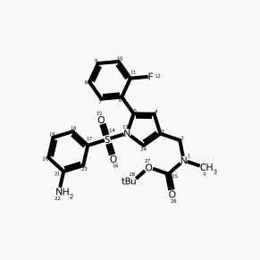 CN(Cc1cc(-c2ccccc2F)n(S(=O)(=O)c2cccc(N)c2)c1)C(=O)OC(C)(C)C